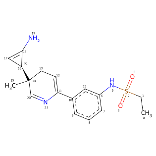 CCS(=O)(=O)Nc1cccc(C2=CCC(C)([C@H]3C=C3N)C=N2)c1